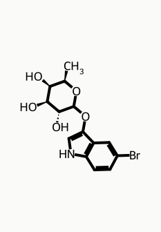 C[C@H]1OC(Oc2c[nH]c3ccc(Br)cc23)[C@H](O)[C@@H](O)[C@H]1O